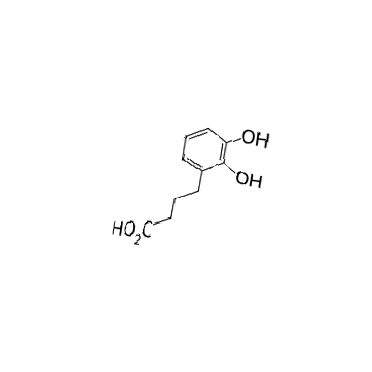 O=C(O)CCCc1cccc(O)c1O